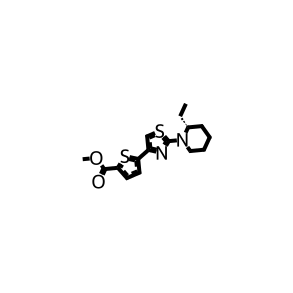 CC[C@@H]1CCCCN1c1nc(-c2ccc(C(=O)OC)s2)cs1